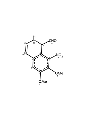 COc1cc2c(c([N+](=O)[O-])c1OC)C(C=O)NC=N2